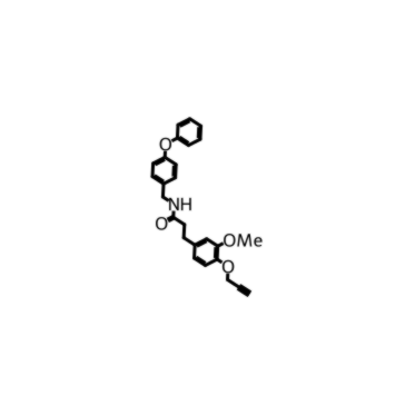 C#CCOc1ccc(CCC(=O)NCc2ccc(Oc3ccccc3)cc2)cc1OC